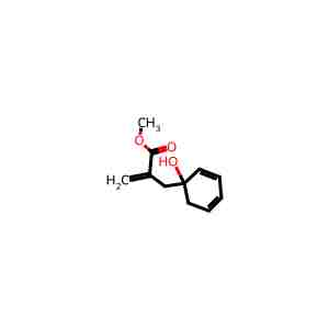 C=C(CC1(O)C=CC=CC1)C(=O)OC